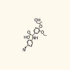 CCOc1cc(C(Nc2ccc(C#N)cc2)C(=O)O)ccc1OC(C)CO